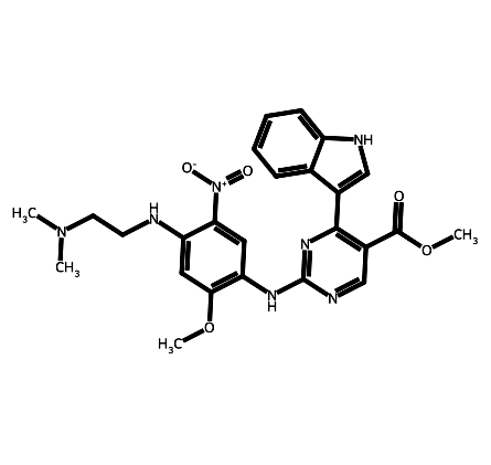 COC(=O)c1cnc(Nc2cc([N+](=O)[O-])c(NCCN(C)C)cc2OC)nc1-c1c[nH]c2ccccc12